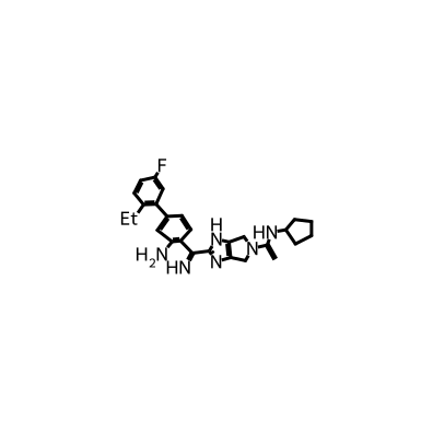 C=C(NC1CCCC1)N1Cc2nc(C(=N)c3ccc(-c4cc(F)ccc4CC)cc3N)[nH]c2C1